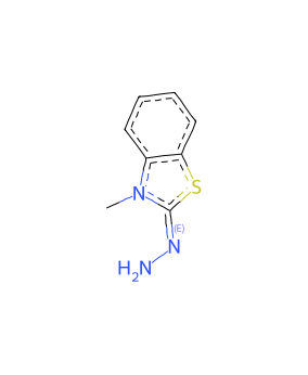 Cn1/c(=N\N)sc2ccccc21